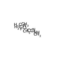 CNc1cc2ccc(-c3cnc(C(C)(C)C)c(F)c3C)cc2cn1